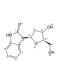 O=c1[nH]c2ccccc2n1[C@H]1CC(O)[C@@H](CO)O1